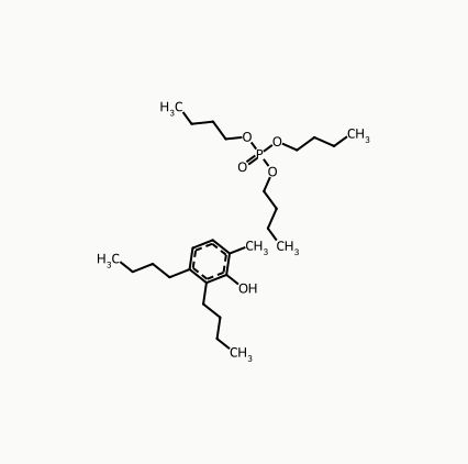 CCCCOP(=O)(OCCCC)OCCCC.CCCCc1ccc(C)c(O)c1CCCC